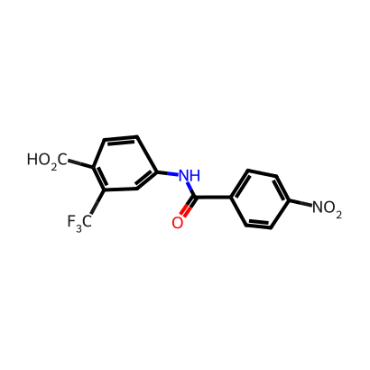 O=C(Nc1ccc(C(=O)O)c(C(F)(F)F)c1)c1ccc([N+](=O)[O-])cc1